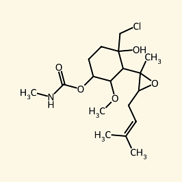 CNC(=O)OC1CCC(O)(CCl)C(C2(C)OC2CC=C(C)C)C1OC